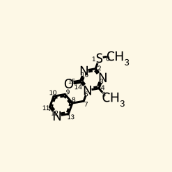 CSc1nc(C)n(Cc2cc[c]nc2)c(=O)n1